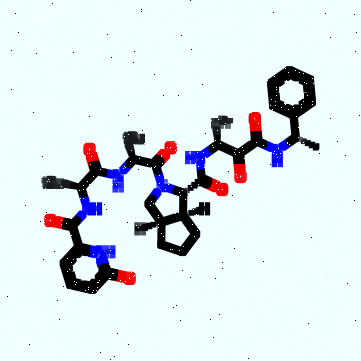 CCC[C@H](NC(=O)[C@@H]1[C@H]2CCC[C@H]2CN1C(=O)[C@@H](NC(=O)[C@@H](NC(=O)c1cccc(=O)[nH]1)C(C)(C)C)C(C)(C)C)C(=O)C(=O)N[C@@H](C)c1ccccc1